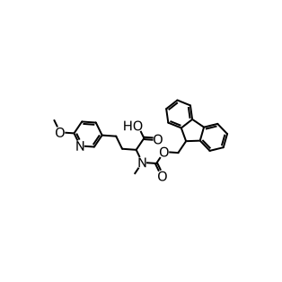 COc1ccc(CCC(C(=O)O)N(C)C(=O)OCC2c3ccccc3-c3ccccc32)cn1